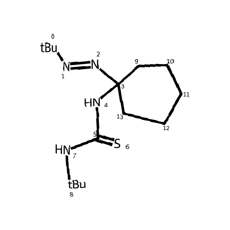 CC(C)(C)/N=N/C1(NC(=S)NC(C)(C)C)CCCCC1